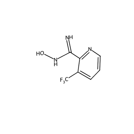 N=C(NO)c1ncccc1C(F)(F)F